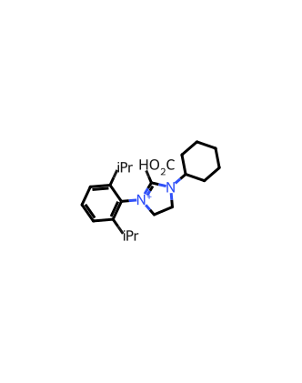 CC(C)c1cccc(C(C)C)c1[N+]1=C(C(=O)O)N(C2CCCCC2)CC1